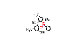 CCC1c2cc(C)cc(C(C)(C)C)c2OP(c2ccccc2)Oc2c1cc(C)cc2C(C)(C)C